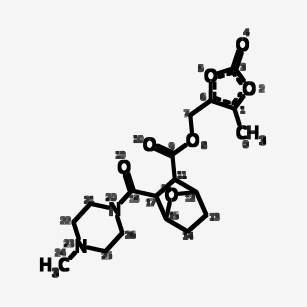 Cc1oc(=O)oc1COC(=O)C1C2CCC(O2)C1C(=O)N1CCN(C)CC1